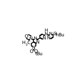 CCCCOc1ccnc(Nc2ccc(-c3nc4c(c(N5CCOCC5C)n3)CCN(C(=O)OC(C)(C)C)C4)cn2)n1